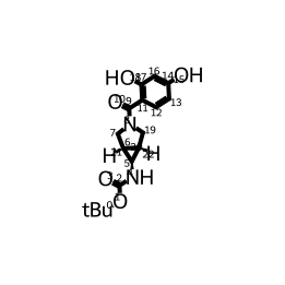 CC(C)(C)OC(=O)N[C@H]1[C@@H]2CN(C(=O)c3ccc(O)cc3O)C[C@@H]21